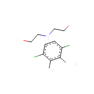 COc1c(Cl)ccc(Cl)c1C(=O)O.OCCNCCO